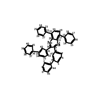 c1ccc(-c2cccc(-c3nc4c(-c5ccccc5)ccc(-c5ccccc5)c4nc3-c3cccc(-c4ccccc4)c3)c2)cc1